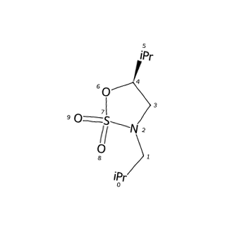 CC(C)CN1C[C@H](C(C)C)OS1(=O)=O